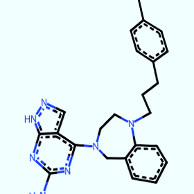 Cc1ccc(CCCN2CCN(c3nc(N)nc4[nH]ncc34)Cc3ccccc32)cc1